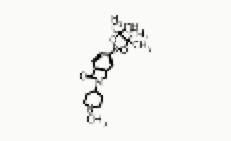 CN1CCC(N2Cc3cc(B4OC(C)(C)C(C)(C)O4)ccc3C2=O)CC1